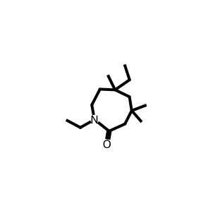 CCN1CCC(C)(CC)CC(C)(C)CC1=O